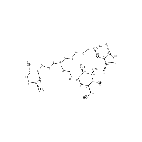 C[C@H]1CC[C@H](O)[C@H](CCCN(CCCCCC(=O)ON2C(=O)CCC2=O)CCC[C@H]2O[C@H](CO)[C@@H](O)[C@H](O)[C@@H]2O)O1